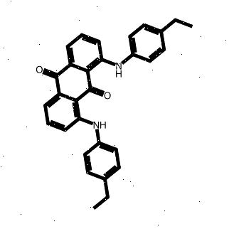 CCc1ccc(Nc2cccc3c2C(=O)c2c(Nc4ccc(CC)cc4)cccc2C3=O)cc1